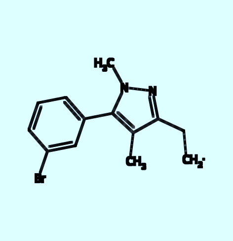 [CH2]Cc1nn(C)c(-c2cccc(Br)c2)c1C